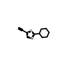 C#Cc1cnc(C2CCCCC2)s1